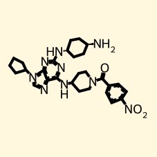 N[C@H]1CC[C@H](Nc2nc(NC3CCN(C(=O)c4ccc([N+](=O)[O-])cc4)CC3)c3ncn(C4CCCC4)c3n2)CC1